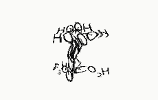 O=C(O)C(Cc1cn([C@@H]2OC(CO)[C@H](O)[C@H](O)C2O)nn1)NC(=O)C(F)(F)F